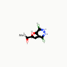 COC(=O)c1cc2c(Cl)nnc(Cl)c2o1